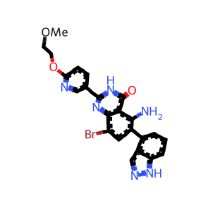 COCCOc1ccc(-c2nc3c(Br)cc(-c4cccc5[nH]ncc45)c(N)c3c(=O)[nH]2)cn1